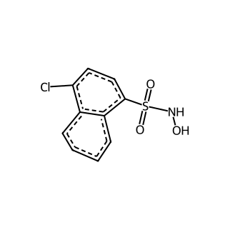 O=S(=O)(NO)c1ccc(Cl)c2ccccc12